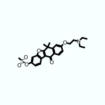 CCN(CC)CCOc1ccc2c(c1)C(C)(C)c1oc3cc(OS(C)(=O)=O)ccc3c1C2=O